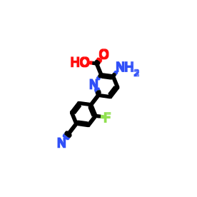 N#Cc1ccc(-c2ccc(N)c(C(=O)O)n2)c(F)c1